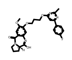 COc1cc2c(cc1OCCCOc1cc(-c3ccc(F)cc3)nc(C)n1)N=C(O)[C@@H]1CCCN1C2=O